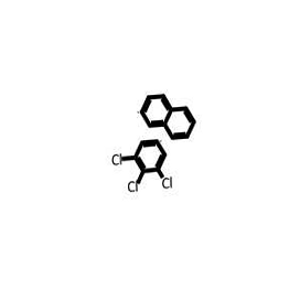 Clc1c[c]cc(Cl)c1Cl.[c]1ccc2ccccc2c1